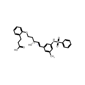 Cc1cc(/C=C/[C@H](O)CCOc2ccccc2CCC(=O)O)cc(NS(=O)(=O)c2ccccc2)c1